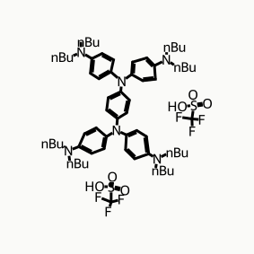 CCCCN(CCCC)c1ccc(N(c2ccc(N(CCCC)CCCC)cc2)c2ccc(N(c3ccc(N(CCCC)CCCC)cc3)c3ccc(N(CCCC)CCCC)cc3)cc2)cc1.O=S(=O)(O)C(F)(F)F.O=S(=O)(O)C(F)(F)F